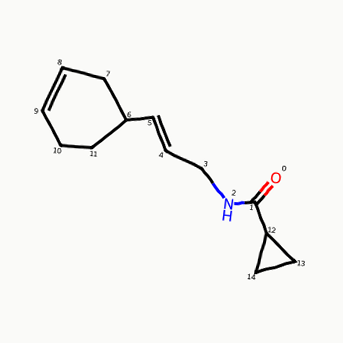 O=C(NCC=CC1CC=CCC1)C1CC1